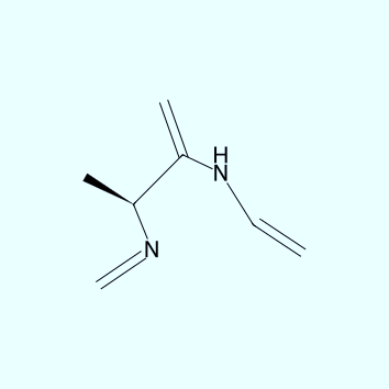 C=CNC(=C)[C@H](C)N=C